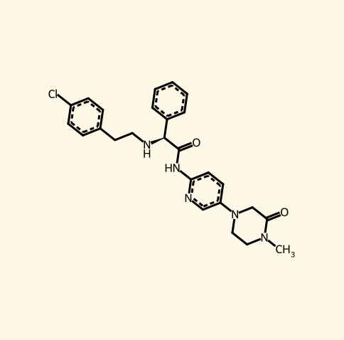 CN1CCN(c2ccc(NC(=O)[C@@H](NCCc3ccc(Cl)cc3)c3ccccc3)nc2)CC1=O